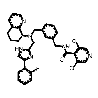 O=C(NCc1cccc(CN(Cc2nc(-c3ccccc3F)c[nH]2)C2CCCc3cccnc32)c1)c1c(Cl)cncc1Cl